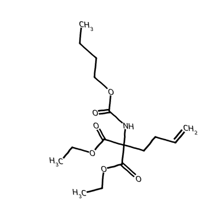 C=CCCC(NC(=O)OCCCC)(C(=O)OCC)C(=O)OCC